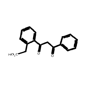 O=C(O)Cc1ccccc1C(=O)CC(=O)c1ccccc1